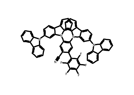 N#Cc1cc(-n2c3ccccc3c3ccc(-n4c5ccccc5c5ccccc54)cc32)c(-n2c3ccccc3c3ccc(-n4c5ccccc5c5ccccc54)cc32)cc1-c1c(F)c(F)c(F)c(F)c1F